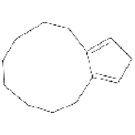 C1=C2CCCCCCCCC2=CC1